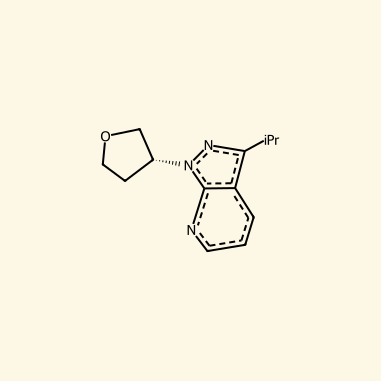 CC(C)c1nn([C@@H]2CCOC2)c2ncccc12